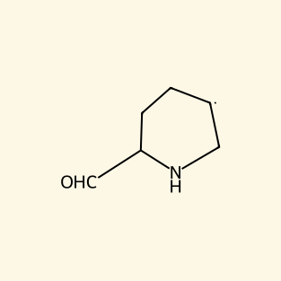 O=CC1CC[CH]CN1